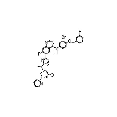 CC(c1nc(-c2cc3c(Nc4ccc(OCc5cccc(F)c5)c(Br)c4)ncnc3cc2F)cs1)N(C=S(=O)=O)CCc1ccccn1